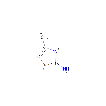 Cc1csc([NH])n1